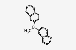 CB(c1ccc2ccccc2c1)c1ccc2ccccc2c1